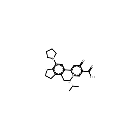 CC(C)[C@@H]1Cc2c(cc(N3CCCC3)c3c2CCO3)-c2cc(=O)c(C(=O)O)cn21